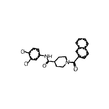 O=C(Nc1ccc(Cl)c(Cl)c1)C1CCN(C(=O)c2ccc3ccccc3c2)CC1